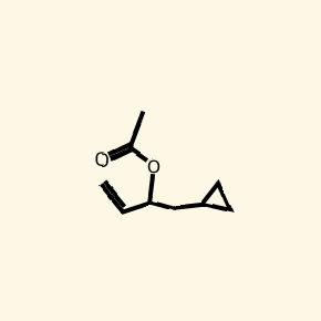 C=CC(CC1CC1)OC(C)=O